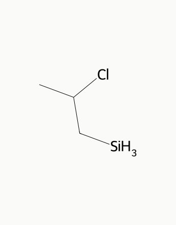 CC(Cl)C[SiH3]